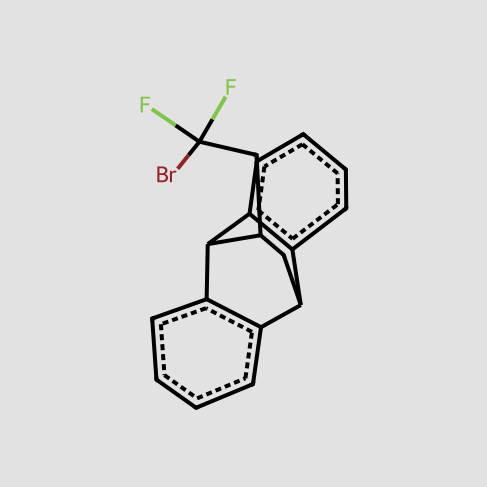 FC(F)(Br)CC1CC2c3ccccc3C1c1ccccc12